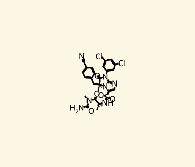 C[C@H](NS(=O)(=O)c1cnc2n1[C@](C)(Cc1ccc(C#N)cc1)C(=O)N2c1cc(Cl)cc(Cl)c1)C(=O)N(C)C(N)=O